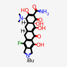 CC[C@H](C)N1Cc2c(O)c3c(c(F)c2C1)C[C@H]1C[C@H]2[C@H](N(C)C)C(O)=C(C(N)=O)C(=O)[C@@]2(O)C(O)=C1C3=O